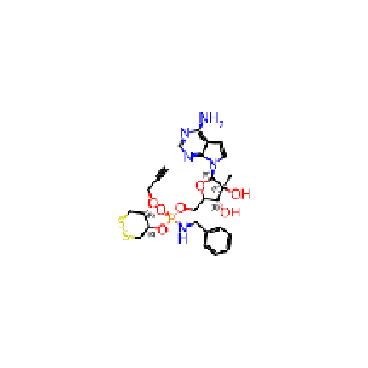 C#CCO[C@H]1CSSC[C@@H]1OP(=O)(NCc1ccccc1)OCC1O[C@@H](n2ccc3c(N)ncnc32)[C@](C)(O)[C@@H]1O